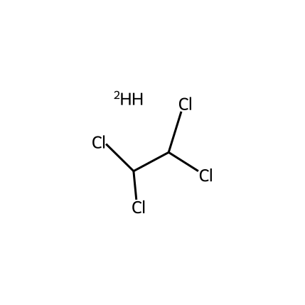 ClC(Cl)C(Cl)Cl.[2HH]